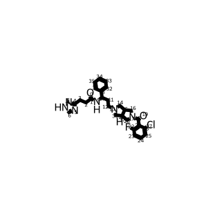 O=C(CCc1nc[nH]n1)NC(CCN1CC2CN(C(=O)c3c(F)cccc3Cl)C[C@@H]2C1)c1ccccc1